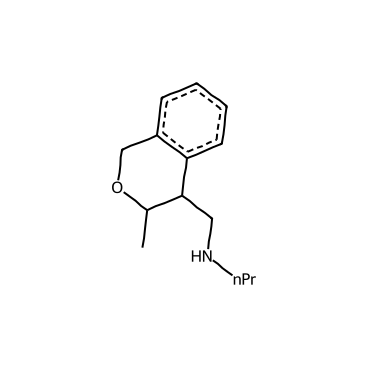 CCCNCC1c2ccccc2COC1C